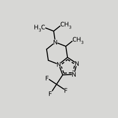 CC(C)N1CCn2c(nnc2C(F)(F)F)C1C